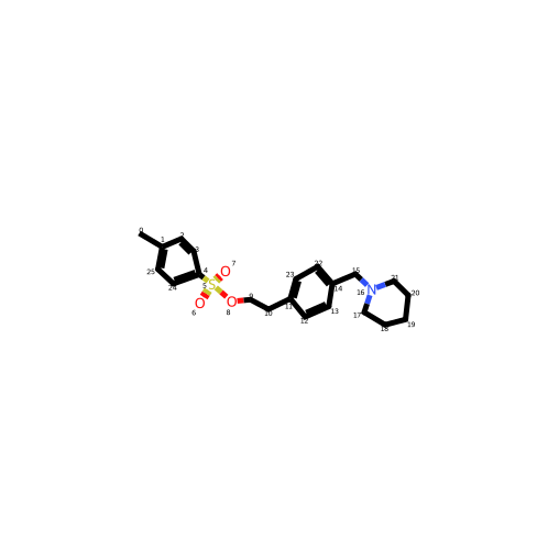 Cc1ccc(S(=O)(=O)OCCc2ccc(CN3CCCCC3)cc2)cc1